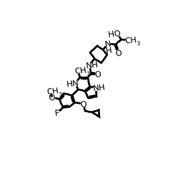 COc1cc(C2NC(C)=C(C(=O)NC3CCC(NC(=O)C(C)O)CC3)c3[nH]ccc32)c(OCC2CC2)cc1F